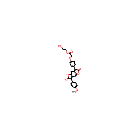 CCCOc1ccc(C2=c3cc4c(cc3OC2=O)=C(c2ccc(OCC(=O)OCCO)cc2)C(=O)O4)cc1